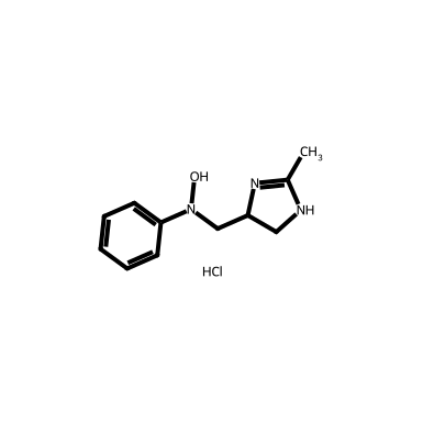 CC1=NC(CN(O)c2ccccc2)CN1.Cl